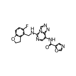 O=C(Nc1cnc(NCc2c(F)ccc3c2CCO3)n2cnnc12)c1cnco1